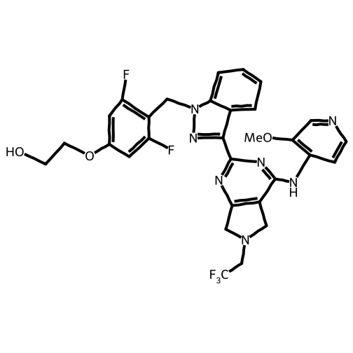 COc1cnccc1Nc1nc(-c2nn(Cc3c(F)cc(OCCO)cc3F)c3ccccc23)nc2c1CN(CC(F)(F)F)C2